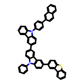 c1ccc(-n2c3ccc(-c4ccc5sc6ccccc6c5c4)cc3c3cc(-c4ccc5c(c4)c4ccccc4n5-c4ccc(-c5ccc6ccccc6c5)cc4)ccc32)cc1